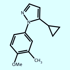 COc1ccc(-n2nccc2C2CC2)cc1C